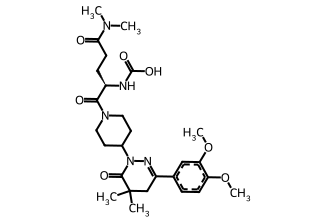 COc1ccc(C2=NN(C3CCN(C(=O)[C@@H](CCC(=O)N(C)C)NC(=O)O)CC3)C(=O)C(C)(C)C2)cc1OC